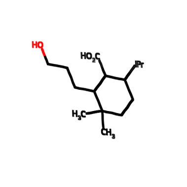 CC(C)C1CCC(C)(C)C(CCCO)C1C(=O)O